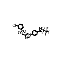 O=S(=O)(Cc1cn(-c2ccc(-c3noc(C(F)(F)F)n3)cc2)cn1)c1cccc(Cl)c1